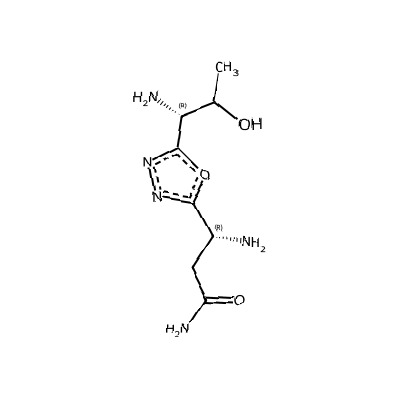 CC(O)[C@@H](N)c1nnc([C@H](N)CC(N)=O)o1